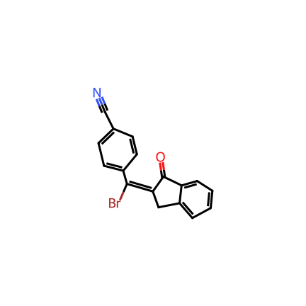 N#Cc1ccc(C(Br)=C2Cc3ccccc3C2=O)cc1